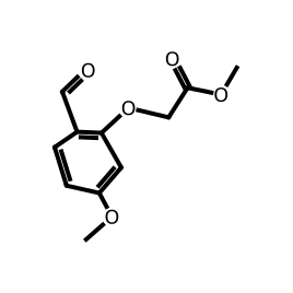 COC(=O)COc1cc(OC)ccc1C=O